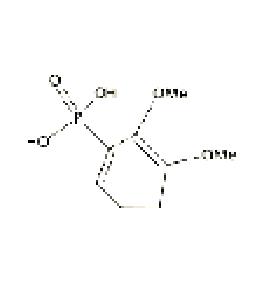 COc1cccc(P(=O)(O)O)c1OC